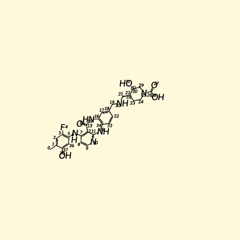 Cc1cc(F)c(Nc2ccnc3c2C(=O)Nc2cc(CNC[C@@H]4CCN(C(=O)O)C[C@H]4O)ccc2N3)cc1O